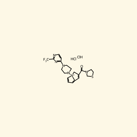 Cl.Cl.O=C(C1=CC2=CC=C[N@@+]2(N2CCN(c3ccnc(C(F)(F)F)n3)CC2)C1)N1CCSC1